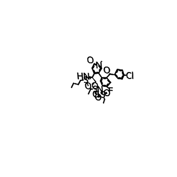 CCCC[S@+]([O-])N[C@H](C)c1cc(=O)n(C)cc1-c1cc(N(S(=O)(=O)CC)S(=O)(=O)CC)c(F)cc1C(=O)c1ccc(Cl)cc1